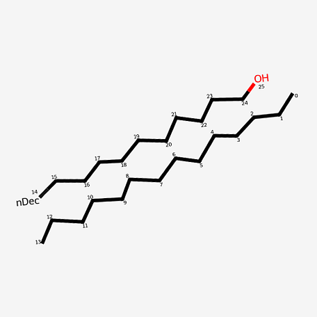 CCCCCCCCCCCCCC.CCCCCCCCCCCCCCCCCCCCO